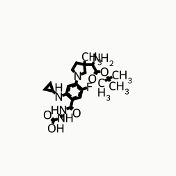 CC(C)(C)OC(=O)C(N)C1(C)CCN(c2cc(NC3CC3)c(C(=O)NNC(=O)O)cc2F)C1